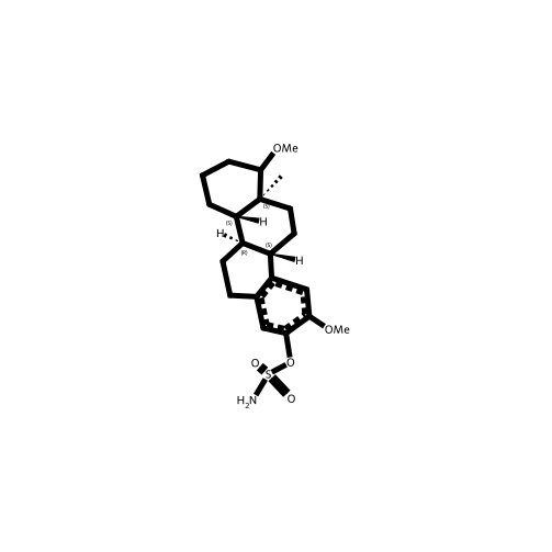 COc1cc2c(cc1OS(N)(=O)=O)CC[C@@H]1[C@@H]2CC[C@]2(C)C(OC)CCC[C@@H]12